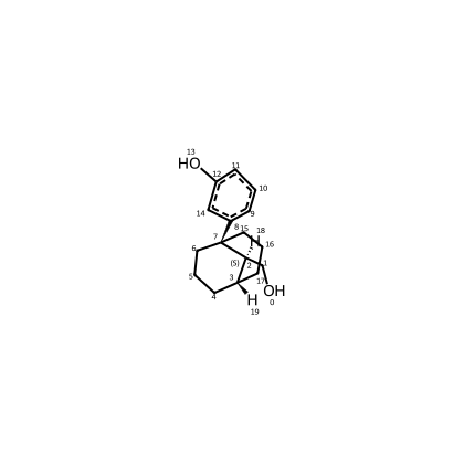 OC[C@H]1[C@H]2CCC[C@]1(c1cccc(O)c1)CCC2